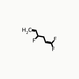 C=C[C](F)CC=C(F)F